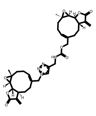 C=C1C(=O)O[C@H]2[C@H]1CC/C(COC(=O)NCc1cn(C/C3=C/CC[C@@]4(C)O[C@H]4[C@H]4OC(=O)C(=C)[C@@H]4CC3)nn1)=C\CC[C@@]1(C)O[C@@H]21